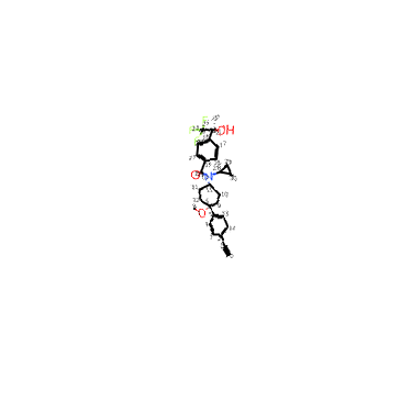 C#Cc1ccc([C@]2(OC)CC[C@@H](N(C(=O)c3ccc([C@](C)(O)C(F)(F)F)cc3)C3CC3)CC2)cc1